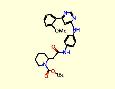 COc1ccccc1-c1cc(Nc2ccc(NC(=O)CC3CCCCN3C(=O)OC(C)(C)C)cc2)ncn1